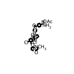 CC(=O)ON=C(N)c1ccc(C(=O)N2CCN(C(=O)[C@@H]3CCCN3S(=O)(=O)c3ccc(Cl)c(COc4cccn5c(=O)cc(C)nc45)c3Cl)CC2)cc1